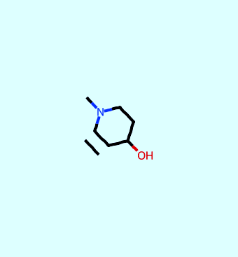 CC.CN1CCC(O)CC1